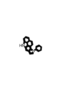 C1=CC2C=Cc3c4c(cc5ccn(C6=CCCC=C6)c35)NC(=C1)C42